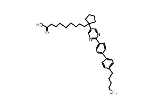 CCCCCc1ccc(-c2ccc(-c3ncc(C4(CCCCCCCCC(=O)O)CCCC4)cn3)cc2)cc1